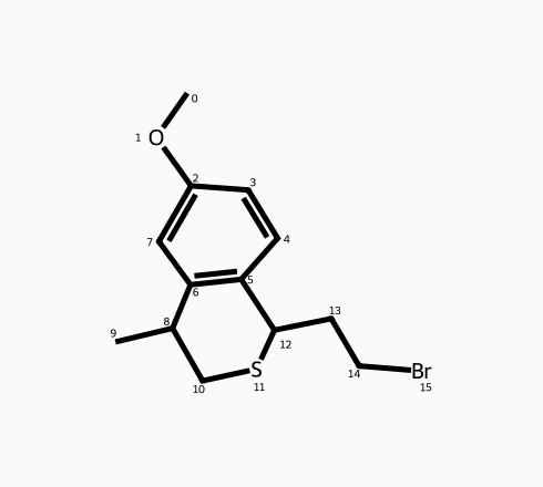 COc1ccc2c(c1)C(C)CSC2CCBr